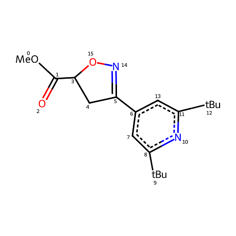 COC(=O)C1CC(c2cc(C(C)(C)C)nc(C(C)(C)C)c2)=NO1